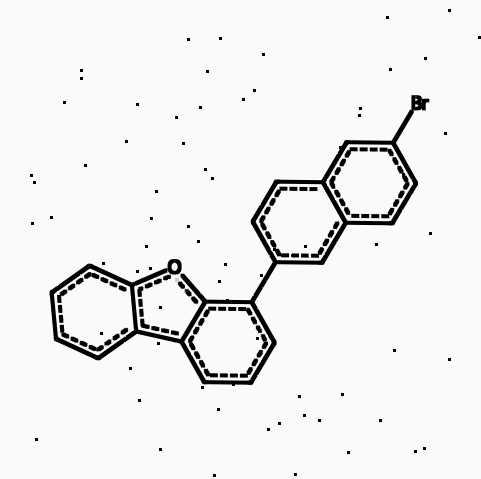 Brc1ccc2cc(-c3cccc4c3oc3ccccc34)ccc2c1